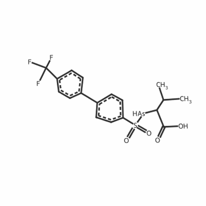 CC(C)C([AsH]S(=O)(=O)c1ccc(-c2ccc(C(F)(F)F)cc2)cc1)C(=O)O